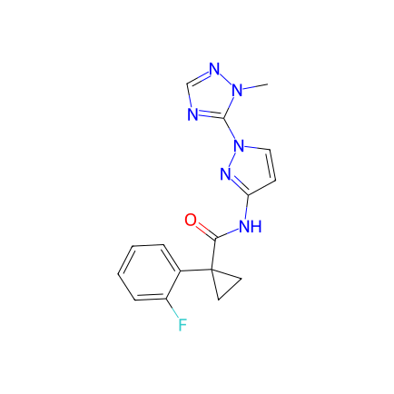 Cn1ncnc1-n1ccc(NC(=O)C2(c3ccccc3F)CC2)n1